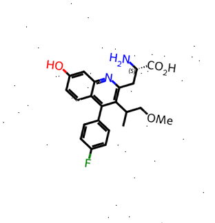 COCC(C)c1c(C[C@H](N)C(=O)O)nc2cc(O)ccc2c1-c1ccc(F)cc1